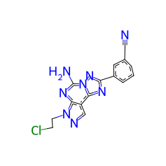 N#Cc1cccc(-c2nc3c4cnn(CCCl)c4nc(N)n3n2)c1